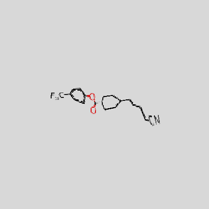 N#CC=CC=C[C@H]1CC[C@H](C(=O)Oc2ccc(C(F)(F)F)cc2)CC1